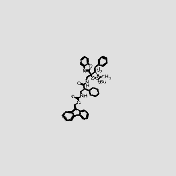 CC(C)(C)[Si](C)(C)OC(CCc1ccccc1)(CNC(=O)C(CNC(=O)OCC1c2ccccc2-c2ccccc21)C1CCCCC1)c1nc2ccccc2o1